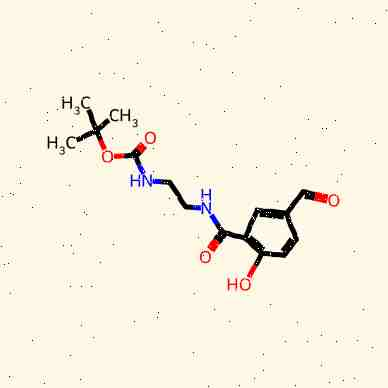 CC(C)(C)OC(=O)NCCNC(=O)c1cc(C=O)ccc1O